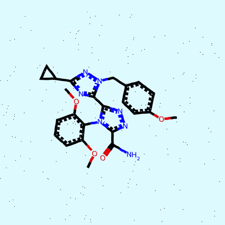 COc1ccc(Cn2nc(C3CC3)nc2-c2nnc(C(N)=O)n2-c2c(OC)cccc2OC)cc1